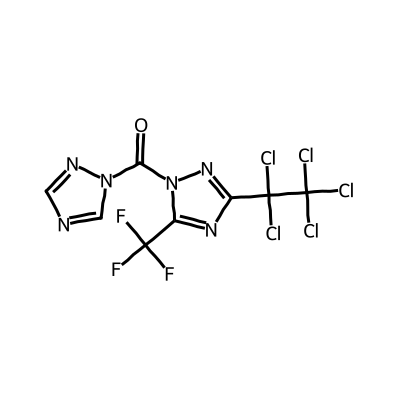 O=C(n1cncn1)n1nc(C(Cl)(Cl)C(Cl)(Cl)Cl)nc1C(F)(F)F